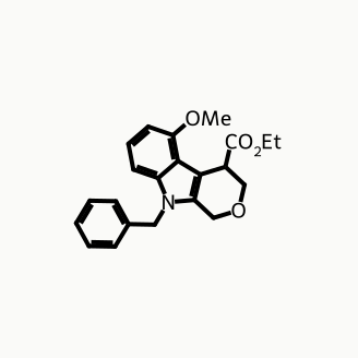 CCOC(=O)C1COCc2c1c1c(OC)cccc1n2Cc1ccccc1